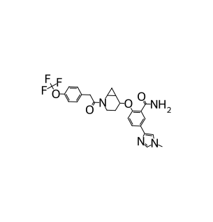 Cn1cnc(-c2ccc(OC3CCN(C(=O)Cc4ccc(OC(F)(F)F)cc4)C4CC34)c(C(N)=O)c2)c1